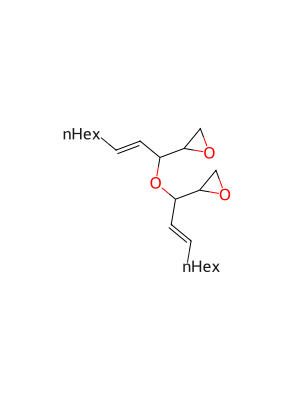 CCCCCC/C=C/C(OC(/C=C/CCCCCC)C1CO1)C1CO1